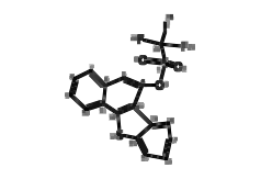 O=S(=O)(Oc1cc2ccccc2c2sc3ccccc3c12)C(F)(F)F